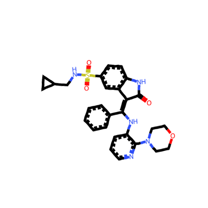 O=C1Nc2ccc(S(=O)(=O)NCC3CC3)cc2/C1=C(/Nc1cccnc1N1CCOCC1)c1ccccc1